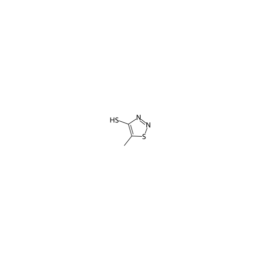 Cc1snnc1S